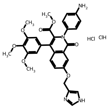 COC(=O)c1c(-c2cc(OC)c(OC)c(OC)c2)c2ccc(OCc3c[nH]cn3)cc2c(=O)n1-c1ccc(N)cc1.Cl.Cl